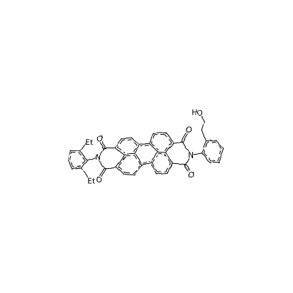 CCc1cccc(CC)c1N1C(=O)c2ccc3c4ccc5c6c(ccc(c7ccc(c2c37)C1=O)c64)C(=O)N(c1ccccc1CCO)C5=O